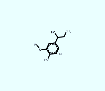 CC(C)Oc1cc(C(O)CN)ccc1O.Cl